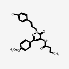 CCCC(=O)Nc1cc(-c2ccc(OC)cc2)nn(C/C=C/c2ccc(Cl)cc2)c1=O